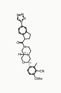 COc1ccc([C@H]2CN3CCN(C(=O)C4CCc5cc(-n6cnnn6)ccc54)C[C@H]3CO2)c(C)c1C#N